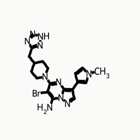 Cn1ccc(-c2cnn3c(N)c(Br)c(N4CCC(Cc5nn[nH]n5)CC4)nc23)c1